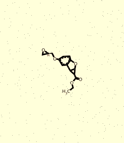 CCOC(=O)C1C2Oc3ccc(OC[C@H]4CO4)cc3C21